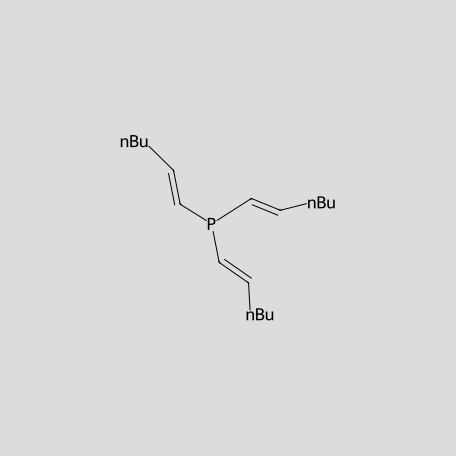 CCCCC=CP(C=CCCCC)C=CCCCC